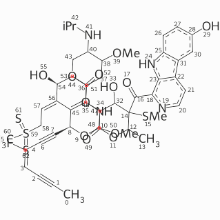 CC#C/C=C(/F)C#C[C@H](OC1OC(C)C(SC)(C(=O)c2nccc3c2[nH]c2ccc(O)cc23)C(O)C1OC1CC(OC)C(NC(C)C)CO1)C1=C(NC(=O)OC)C(=O)C[C@H](O)/C1=C/CS(C)(=S)=S